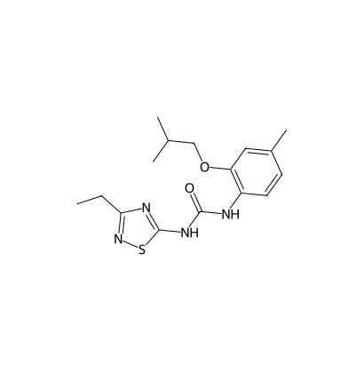 CCc1nsc(NC(=O)Nc2ccc(C)cc2OCC(C)C)n1